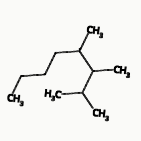 CCCC[C](C)C(C)C(C)C